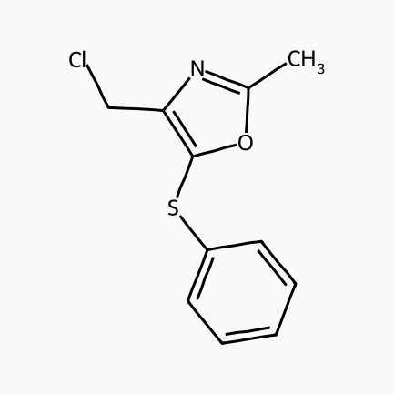 Cc1nc(CCl)c(Sc2ccccc2)o1